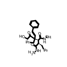 CC(C)C[C@@H](C(=O)NN)[C@H](C(=O)NO)C(/C=C/c1ccccc1)(CC(C)C)C(=O)CO